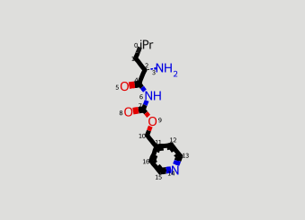 CC(C)C[C@H](N)C(=O)NC(=O)OCc1ccncc1